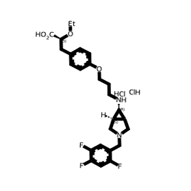 CCO[C@@H](Cc1ccc(OCCCN[C@@H]2C3CN(Cc4cc(F)c(F)cc4F)C[C@H]32)cc1)C(=O)O.Cl.Cl